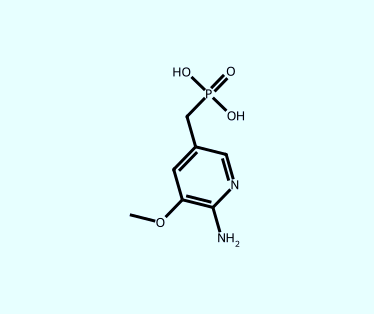 COc1cc(CP(=O)(O)O)cnc1N